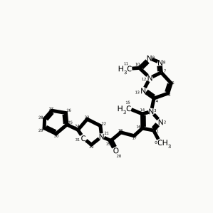 Cc1nn(-c2ccc3nnc(C)n3n2)c(C)c1CCC(=O)N1CCC(c2ccccc2)CC1